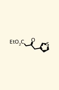 CCOC(=O)CC(=O)Cc1ccsc1